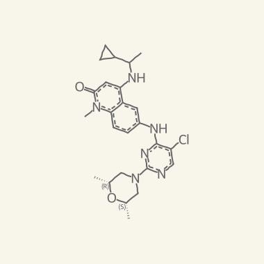 CC(Nc1cc(=O)n(C)c2ccc(Nc3nc(N4C[C@@H](C)O[C@@H](C)C4)ncc3Cl)cc12)C1CC1